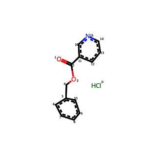 Cl.O=C(OCc1ccccc1)c1cccnc1